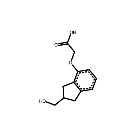 O=C(O)COc1cccc2c1CC(CO)C2